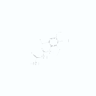 CCc1cc(O)c(O)c(CC)c1NC(=O)NC(=N)NC